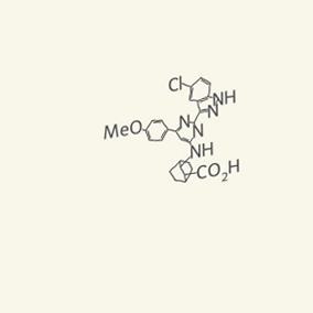 COc1ccc(-c2cc(NC3C4CCC(CC4)C3C(=O)O)nc(-c3n[nH]c4ccc(Cl)cc34)n2)cc1